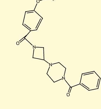 O=C(c1ccccc1)N1CCN(C2CN(C(=O)c3ccc(OC(F)(F)F)cc3)C2)CC1